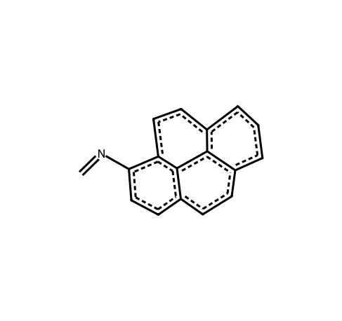 C=Nc1ccc2ccc3cccc4ccc1c2c34